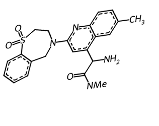 CNC(=O)C(N)c1cc(N2CCS(=O)(=O)c3ccccc3C2)nc2ccc(C)cc12